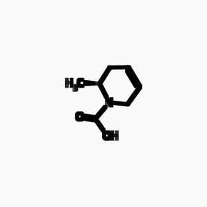 C[C@H]1CC=CCN1C(=O)O